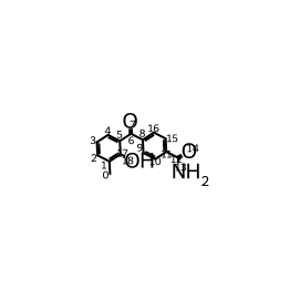 Cc1cccc(C(=O)c2ccc(C(N)=O)cc2)c1O